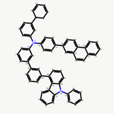 C1=CCC(c2cccc(N(c3ccc(-c4ccc5c(ccc6ccccc65)c4)cc3)c3cccc(-c4cccc(-c5cccc6c5c5ccccc5n6-c5ccccc5)c4)c3)c2)C=C1